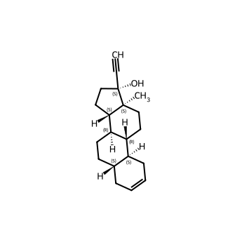 C#C[C@]1(O)CC[C@H]2[C@@H]3CC[C@H]4CC=CC[C@@H]4[C@H]3CC[C@@]21C